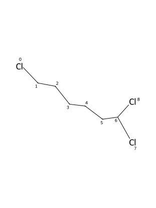 ClCCCCCC(Cl)Cl